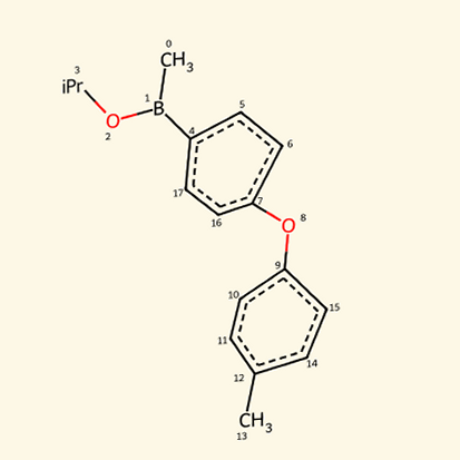 CB(OC(C)C)c1ccc(Oc2ccc(C)cc2)cc1